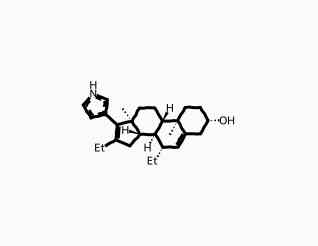 CCC1=C(c2cc[nH]c2)[C@@]2(C)CC[C@H]3[C@@H]([C@@H](CC)C=C4C[C@@H](O)CC[C@@]43C)[C@@H]2C1